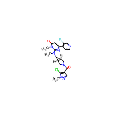 CN(c1nc(-c2ccncc2F)cc(=O)n1C)[C@H]1[C@@H]2CN(C(=O)c3cnn(C)c3Cl)C[C@@H]21